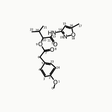 COc1ccc(CC(=O)OC(C(=O)Nc2cc(C)on2)C(C)C)cc1